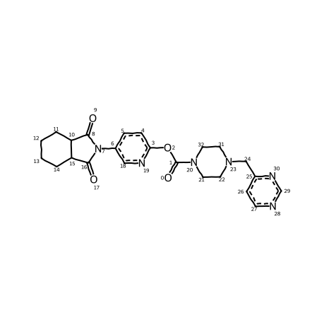 O=C(Oc1ccc(N2C(=O)C3CCCCC3C2=O)cn1)N1CCN(Cc2ccncn2)CC1